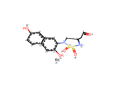 O=CC1CN(c2cc3cc(O)ccc3cc2O)S(=O)(=O)N1.[KH]